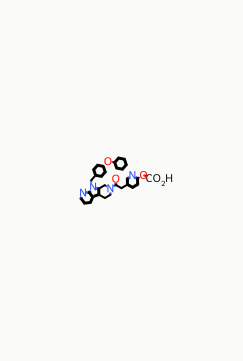 O=C(O)Oc1ccc(CC(=O)N2CCc3c(n(Cc4ccc(Oc5ccccc5)cc4)c4ncccc34)C2)cn1